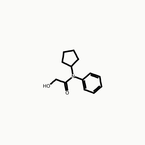 O=C(CO)N(c1ccccc1)C1CCCC1